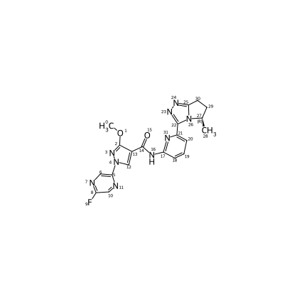 COc1nn(-c2cnc(F)cn2)cc1C(=O)Nc1cccc(-c2nnc3n2[C@H](C)CC3)n1